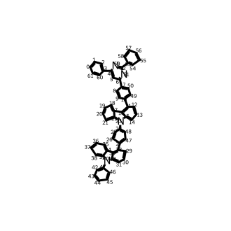 c1ccc(-c2cc(-c3ccc(-c4cccc5c4c4ccccc4n5-c4ccc(-c5cccc6c5c5ccccc5n6-c5ccccc5)cc4)cc3)nc(-c3ccccc3)n2)cc1